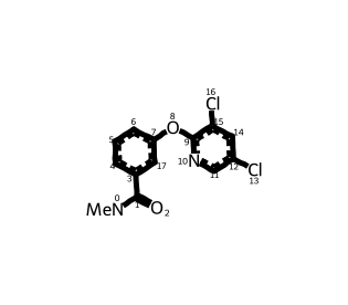 CNC(=O)c1cccc(Oc2ncc(Cl)cc2Cl)c1